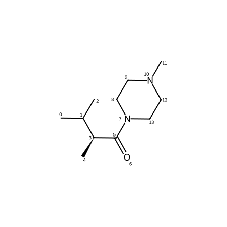 CC(C)[C@H](C)C(=O)N1CCN(C)CC1